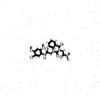 COc1cc(OC)c(NC(=O)Cn2c(=O)n(CC(=O)N(C)C)c(=O)c3ccccc32)cc1Cl